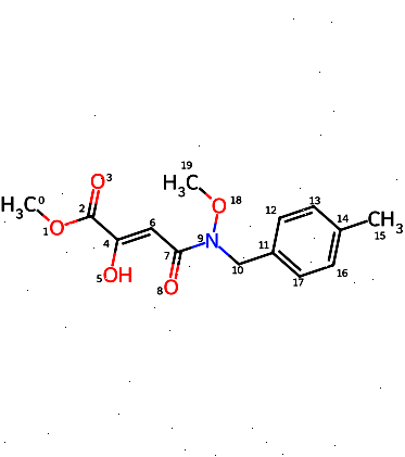 COC(=O)C(O)=CC(=O)N(Cc1ccc(C)cc1)OC